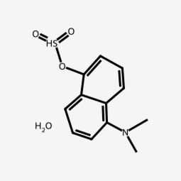 CN(C)c1cccc2c(O[SH](=O)=O)cccc12.O